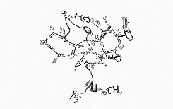 COc1cc(N(C)C)ccc1C1(c2cc(Cl)c(Cl)cc2O)OC(=O)c2ccccc21